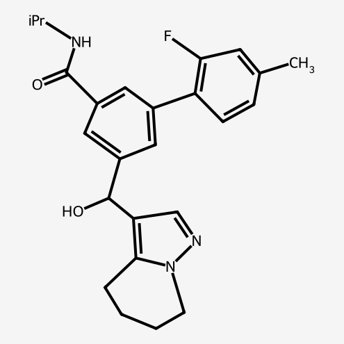 Cc1ccc(-c2cc(C(=O)NC(C)C)cc(C(O)c3cnn4c3CCCC4)c2)c(F)c1